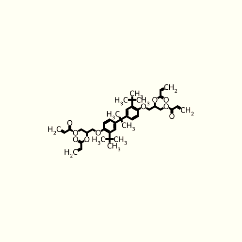 C=CC(=O)OCC(COc1ccc(C(C)(C)c2ccc(OCC(COC(=O)C=C)OC(=O)C=C)c(C(C)(C)C)c2)cc1C(C)(C)C)OC(=O)C=C